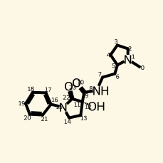 CN1CCCC1CCNC(=O)[C@@]1(O)CCN(c2ccccc2)C1=O